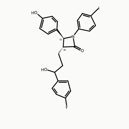 O=C1[C@H](CCC(O)c2ccc(F)cc2)[C@@H](c2ccc(O)cc2)N1c1ccc(I)cc1